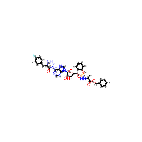 CC(NP(OCC1CC(O)C(n2cnc3c(NC(=O)C(N)Cc4ccc(F)cc4)ncnc32)O1)Oc1ccccc1)C(=O)OCc1ccccc1